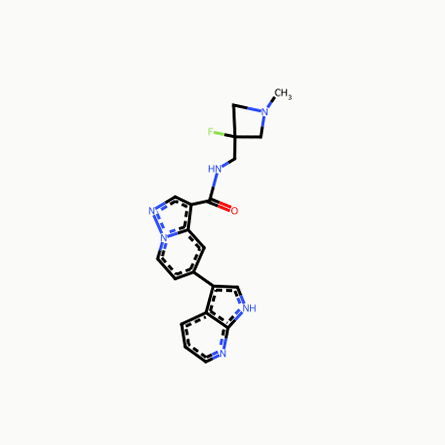 CN1CC(F)(CNC(=O)c2cnn3ccc(-c4c[nH]c5ncccc45)cc23)C1